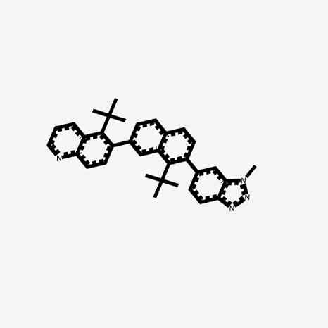 Cn1nnc2ccc(-c3ccc4ccc(-c5ccc6ncccc6c5C(C)(C)C)cc4c3C(C)(C)C)cc21